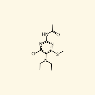 CCN(CC)c1c(Cl)nc(NC(C)=O)nc1SC